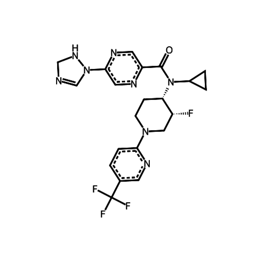 O=C(c1cnc(N2C=NCN2)cn1)N(C1CC1)[C@H]1CCN(c2ccc(C(F)(F)F)cn2)C[C@H]1F